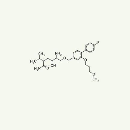 COCCCOc1cc(COCC(N)C(O)CC(C(N)=O)C(C)C)ccc1-c1ccc(F)cc1